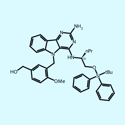 CCC[C@@H](CO[Si](c1ccccc1)(c1ccccc1)C(C)(C)C)Nc1nc(N)nc2c3ccccc3n(Cc3cc(CO)ccc3OC)c12